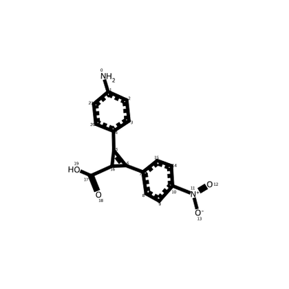 Nc1ccc(C2=C(c3ccc([N+](=O)[O-])cc3)C2C(=O)O)cc1